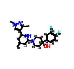 Cc1nn(C)cc1C1CC(C)CC(N2CCC(O)(c3ccc(F)c(F)c3)CC2)N1